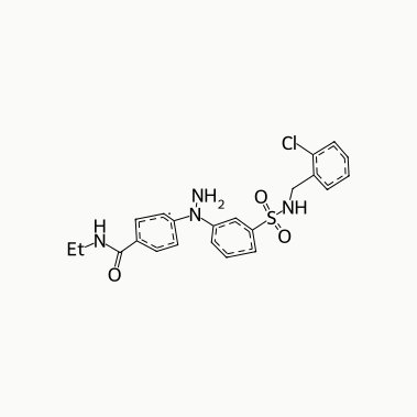 CCNC(=O)c1c[c]c(N(N)c2cccc(S(=O)(=O)NCc3ccccc3Cl)c2)cc1